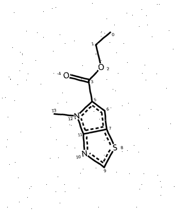 CCOC(=O)c1cc2scnc2n1C